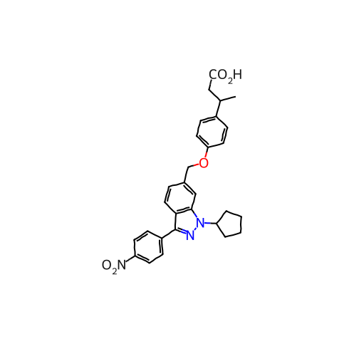 CC(CC(=O)O)c1ccc(OCc2ccc3c(-c4ccc([N+](=O)[O-])cc4)nn(C4CCCC4)c3c2)cc1